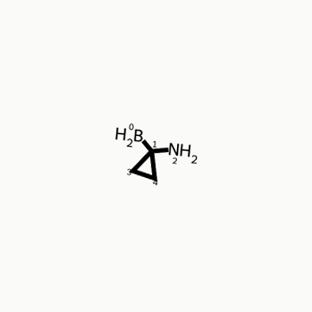 BC1(N)CC1